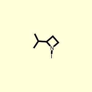 CC(C)C1CCN1I